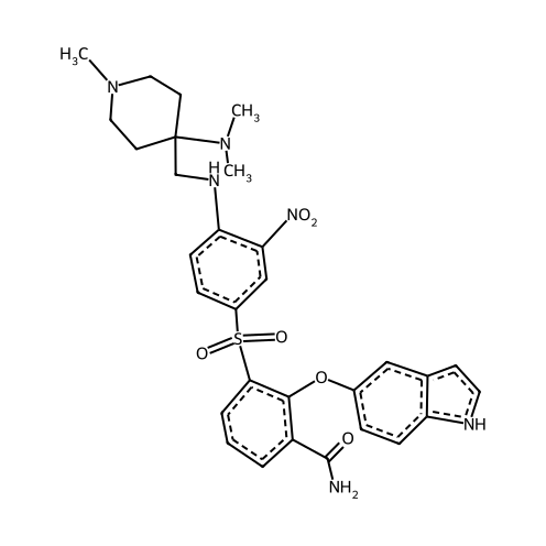 CN1CCC(CNc2ccc(S(=O)(=O)c3cccc(C(N)=O)c3Oc3ccc4[nH]ccc4c3)cc2[N+](=O)[O-])(N(C)C)CC1